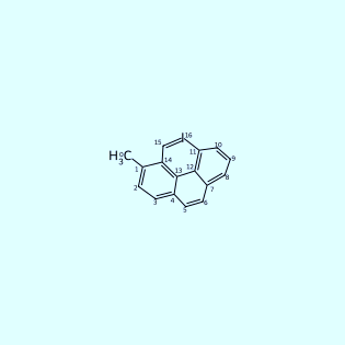 Cc1ccc2ccc3cccc4c3c2c1C=I4